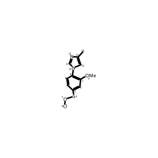 COc1cc(SOCl)ccc1-n1cnc(C)c1